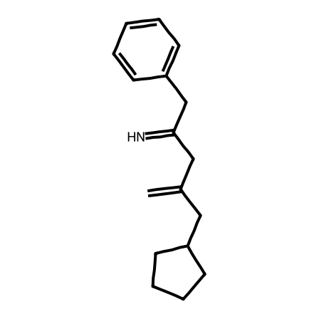 C=C(CC(=N)Cc1ccccc1)CC1CCCC1